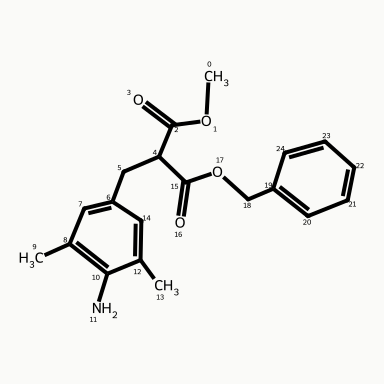 COC(=O)C(Cc1cc(C)c(N)c(C)c1)C(=O)OCc1ccccc1